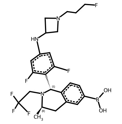 C[C@@H]1Cc2cc(B(O)O)ccc2[C@@H](c2c(F)cc(NC3CN(CCCF)C3)cc2F)N1CC(F)(F)F